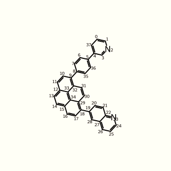 c1cncc(-c2ccc(-c3ccc4ccc5ccc(-c6ccc7ncccc7c6)c6ccc3c4c56)cc2)c1